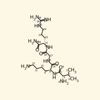 CC(C)[C@H](N)C(=O)N[C@@H](CCCCN)C(=O)NCC(=O)N[C@@H](CCCNC(=N)N)C(N)=O